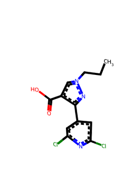 CCCn1cc(C(=O)O)c(-c2cc(Cl)nc(Cl)c2)n1